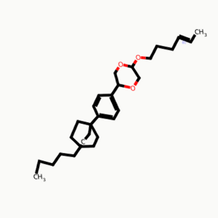 C/C=C/CCCOC1COC(c2ccc(C34CCC(CCCCC)(CC3)CC4)cc2)CO1